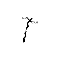 C=CCCCCCC[C@@](C)(NC)C(=O)O